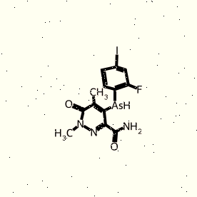 Cc1c([AsH]c2ccc(I)cc2F)c(C(N)=O)nn(C)c1=O